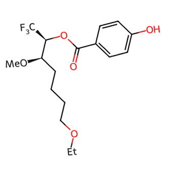 CCOCCCC[C@@H](OC)[C@H](OC(=O)c1ccc(O)cc1)C(F)(F)F